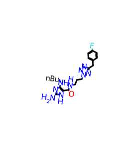 CCCCNc1nc(N)[nH]c1C(=O)NCCCn1nnc(Cc2ccc(F)cc2)n1